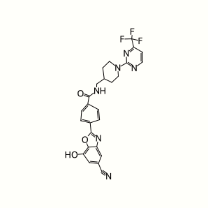 N#Cc1cc(O)c2oc(-c3ccc(C(=O)NCC4CCN(c5nccc(C(F)(F)F)n5)CC4)cc3)nc2c1